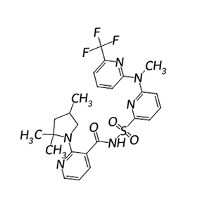 CC1CN(c2ncccc2C(=O)NS(=O)(=O)c2cccc(N(C)c3cccc(C(F)(F)F)n3)n2)C(C)(C)C1